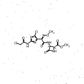 CON=C(C(=O)N[C@@H]1C(=O)N[C@@H]1C(=O)OC)c1nc(NC(=O)CCl)sc1Cl